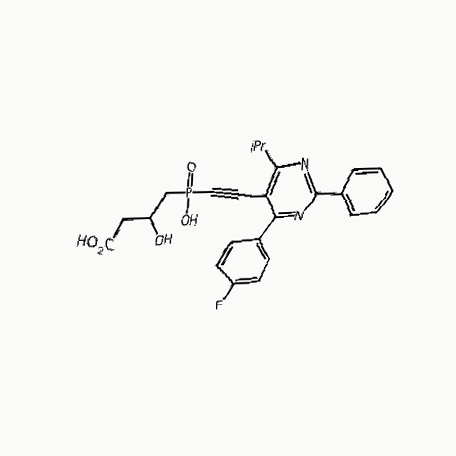 CC(C)c1nc(-c2ccccc2)nc(-c2ccc(F)cc2)c1C#CP(=O)(O)CC(O)CC(=O)O